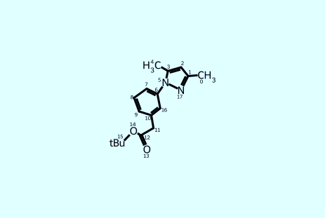 Cc1cc(C)n(-c2cccc(CC(=O)OC(C)(C)C)c2)n1